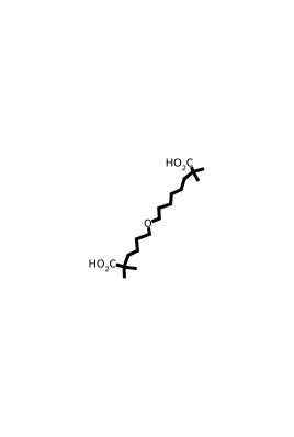 CC(C)(CCCCCCOCCCCC(C)(C)C(=O)O)C(=O)O